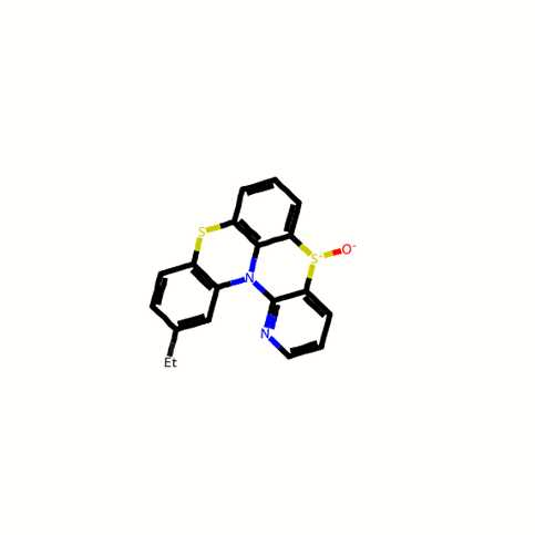 CCc1ccc2c(c1)N1c3ncccc3[S+]([O-])c3cccc(c31)S2